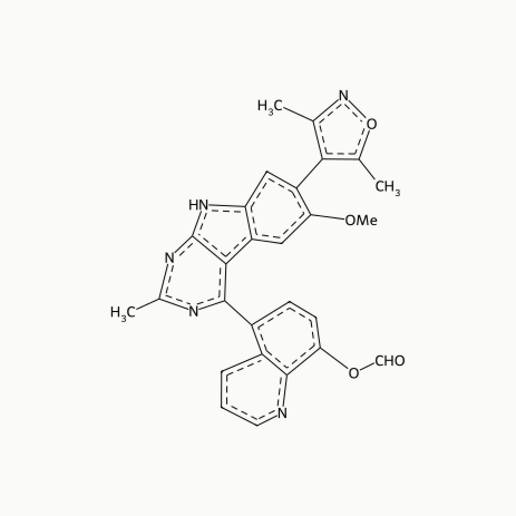 COc1cc2c(cc1-c1c(C)noc1C)[nH]c1nc(C)nc(-c3ccc(OC=O)c4ncccc34)c12